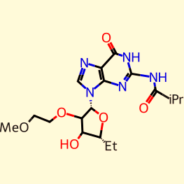 CC[C@H]1O[C@@H](n2cnc3c(=O)[nH]c(NC(=O)C(C)C)nc32)C(OCCOC)C1O